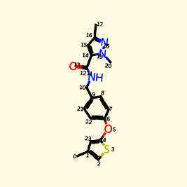 Cc1csc(Oc2ccc(CNC(=O)c3cc(C)nn3C)cc2)c1